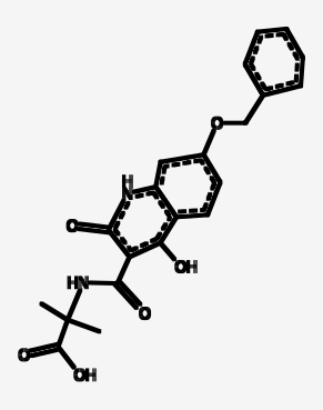 CC(C)(NC(=O)c1c(O)c2ccc(OCc3ccccc3)cc2[nH]c1=O)C(=O)O